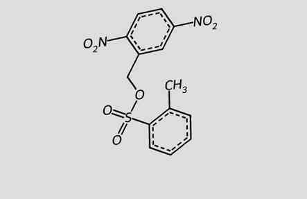 Cc1ccccc1S(=O)(=O)OCc1cc([N+](=O)[O-])ccc1[N+](=O)[O-]